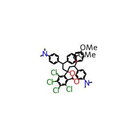 COc1ccc(C(CC2(CC(c3ccc(OC)cc3)c3ccc(N(C)C)cc3)OC(=O)c3c(Cl)c(Cl)c(Cl)c(Cl)c32)c2ccc(N(C)C)cc2)cc1